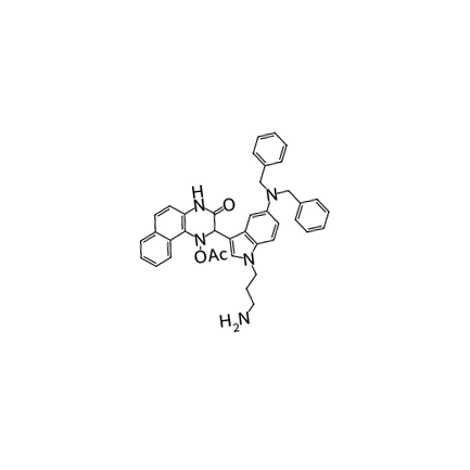 CC(=O)ON1c2c(ccc3ccccc23)NC(=O)C1c1cn(CCCN)c2ccc(N(Cc3ccccc3)Cc3ccccc3)cc12